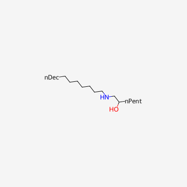 CCCCCCCCCCCCCCCCCNCC(O)CCCCC